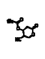 CC(C)(C)C(=O)OC1CC(=O)OCC1C#N